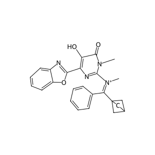 Cn1c(/[N+](C)=C(\c2ccccc2)C23CC(C2)C3)nc(-c2nc3ccccc3o2)c(O)c1=O